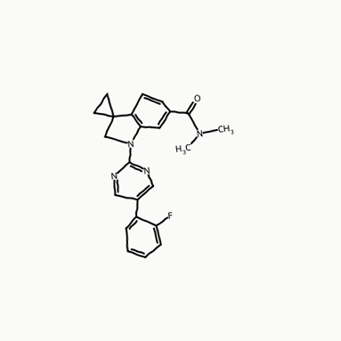 CN(C)C(=O)c1ccc2c(c1)N(c1ncc(-c3ccccc3F)cn1)CC21CC1